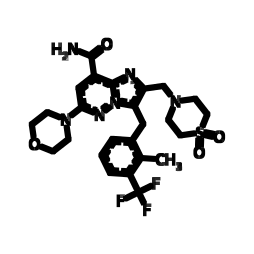 Cc1c(Cc2c(CN3CCS(=O)(=O)CC3)nc3c(C(N)=O)cc(N4CCOCC4)nn23)cccc1C(F)(F)F